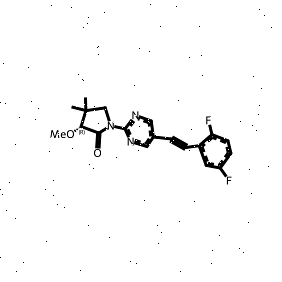 CO[C@H]1C(=O)N(c2ncc(C#Cc3cc(F)ccc3F)cn2)CC1(C)C